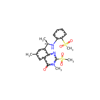 Cc1cc([C@@H](C)Nc2ccccc2S(C)(=O)=O)c2nc(S(C)(=O)=O)n(C)c(=O)c2c1